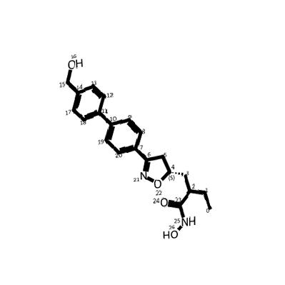 CCC(C[C@H]1CC(c2ccc(-c3ccc(CO)cc3)cc2)=NO1)C(=O)NO